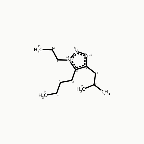 CCCCc1c(CC(C)C)nnn1CCC